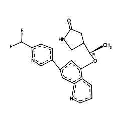 C[C@@H](Oc1cc(-c2ccc(C(F)F)nc2)cc2ncccc12)C1CNC(=O)C1